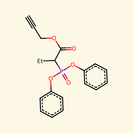 C#CCOC(=O)C(CC)P(=O)(Oc1ccccc1)Oc1ccccc1